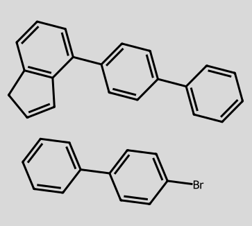 Brc1ccc(-c2ccccc2)cc1.C1=Cc2c(cccc2-c2ccc(-c3ccccc3)cc2)C1